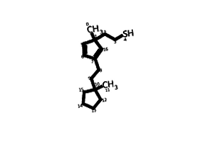 CC1(CCS)C=CC(CCC2(C)CCCC2)=C1